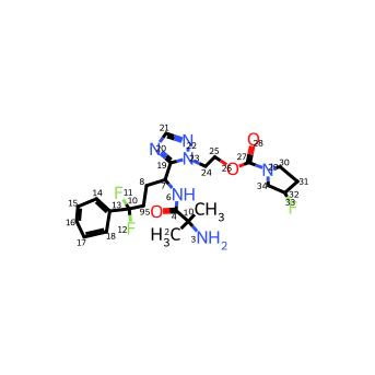 CC(C)(N)C(=O)NC(CCC(F)(F)c1ccccc1)c1ncnn1CCOC(=O)N1CCC(F)C1